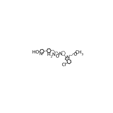 COCCCn1c(C2CCCN(C(=O)C[C@H](N)Cc3ccc(-c4ccc(O)nc4)cc3)C2)cc2c(Cl)cccc21